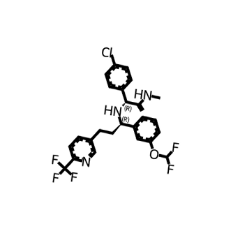 C=C(NC)[C@H](N[C@H](CCc1ccc(C(F)(F)F)nc1)c1cccc(OC(F)F)c1)c1ccc(Cl)cc1